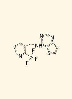 FC(F)(F)c1ncccc1CNc1ncnc2ccsc12